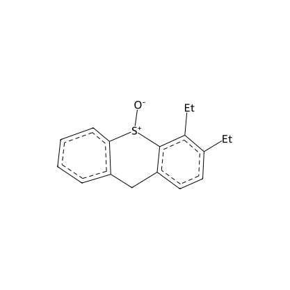 CCc1ccc2c(c1CC)[S+]([O-])c1ccccc1C2